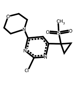 CS(=O)(=O)C1(c2cc(N3CCOCC3)nc(Cl)n2)CC1